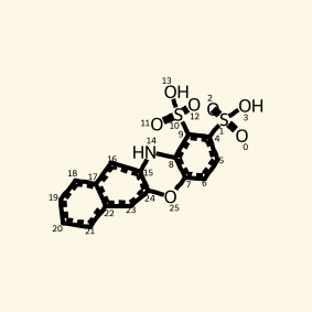 O=S(=O)(O)c1ccc2c(c1S(=O)(=O)O)Nc1cc3ccccc3cc1O2